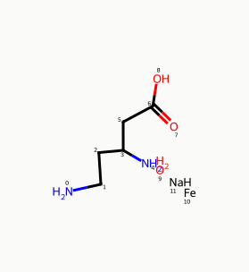 NCCC(N)CC(=O)O.O.[Fe].[NaH]